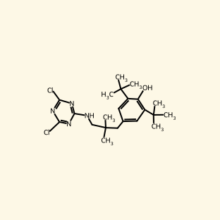 CC(C)(CNc1nc(Cl)nc(Cl)n1)Cc1cc(C(C)(C)C)c(O)c(C(C)(C)C)c1